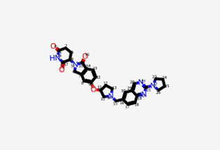 O=C1CCC(N2Cc3cc(OC4CCN(Cc5ccc6nc(N7CCCC7)ncc6c5)C4)ccc3C2=O)C(=O)N1